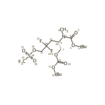 CN(C(=O)OC(C)(C)C)[C@H](COC(=O)OC(C)(C)C)CC(F)(F)COS(=O)(=O)C(F)(F)F